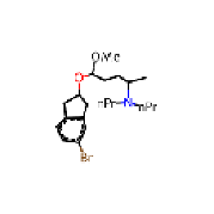 CCCN(CCC)C(C)CCC(OC)OC1Cc2ccc(Br)cc2C1